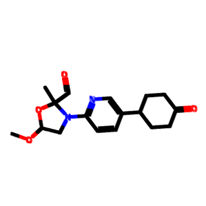 COC1CN(c2ccc(C3CCC(=O)CC3)cn2)C(C)(C=O)O1